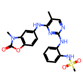 Cc1cnc(Nc2ccccc2NS(C)(=O)=O)nc1Nc1ccc2oc(=O)n(C)c2c1